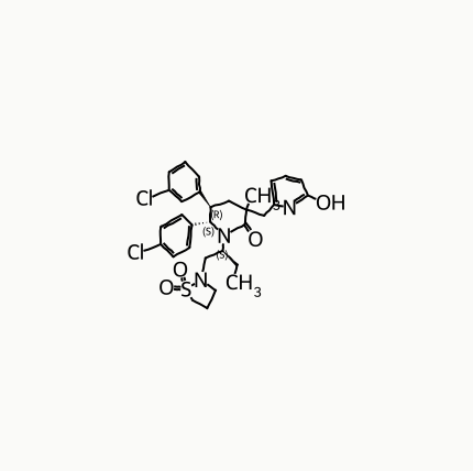 CC[C@@H](CN1CCCS1(=O)=O)N1C(=O)C(C)(Cc2cccc(O)n2)C[C@H](c2cccc(Cl)c2)[C@H]1c1ccc(Cl)cc1